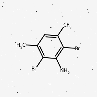 Cc1cc(C(F)(F)F)c(Br)c(N)c1Br